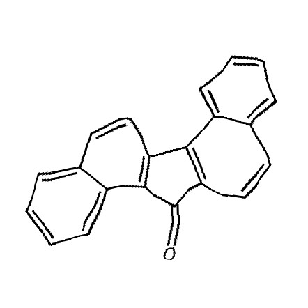 O=C1c2ccc3ccccc3c2-c2ccc3ccccc3c21